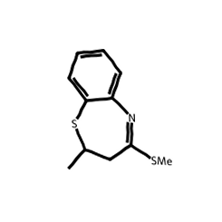 CSC1=Nc2ccccc2SC(C)C1